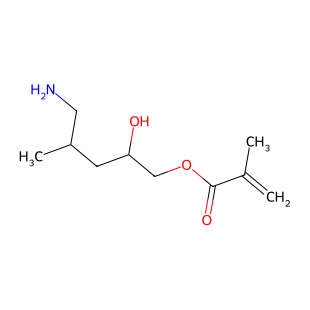 C=C(C)C(=O)OCC(O)CC(C)CN